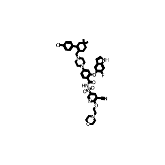 CC1(C)CCC(CN2CCN(c3ccc(C(=O)NS(=O)(=O)c4cnc(OCCN5CCOCC5)c(C#N)c4)c(Oc4cc5cc[nH]c5cc4F)c3)CC2)=C(c2ccc(Cl)cc2)C1